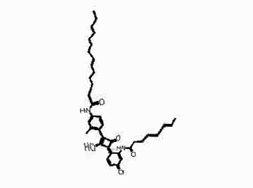 CCCCCCCCCCCCCC(=O)Nc1ccc(C2=C(O)/C(=C3\C=CC(=O)C=C3NC(=O)CCCCCCC)C2=O)c(C)c1